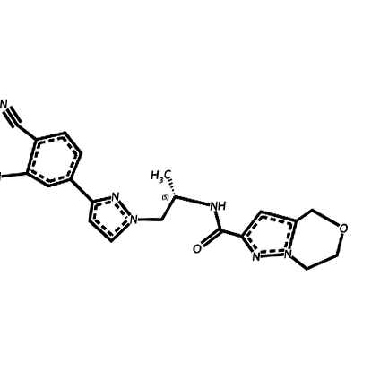 C[C@@H](Cn1ccc(-c2ccc(C#N)c(Cl)c2)n1)NC(=O)c1cc2n(n1)CCOC2